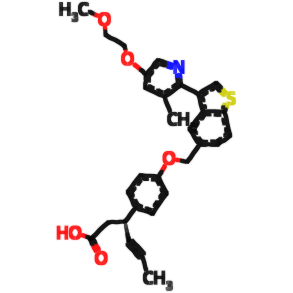 CC#C[C@@H](CC(=O)O)c1ccc(OCc2ccc3scc(-c4ncc(OCCOC)cc4C)c3c2)cc1